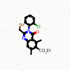 CCOC(=O)c1c(C)cc2nc(CS)n(-c3ccccc3Cl)c(=O)c2c1C